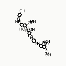 Cc1cc(N=Nc2cc(O)c(N=Nc3c(SOOO)cc4cc(NCOc5ccc(O)cc5)ccc4c3O)cc2C)ccc1N=Nc1ccc2cc(SOOO)cc(S(=O)(=O)O)c2c1